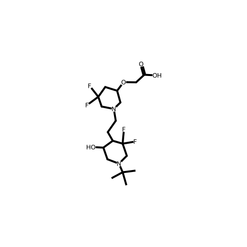 CC(C)(C)N1CC(O)C(CCN2CC(OCC(=O)O)CC(F)(F)C2)C(F)(F)C1